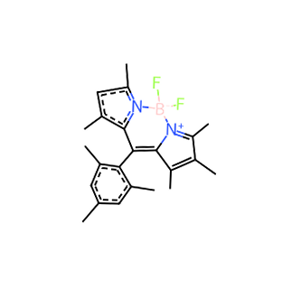 CC1=C(C)C(C)=[N+]2C1=C(c1c(C)cc(C)cc1C)c1c(C)cc(C)n1[B-]2(F)F